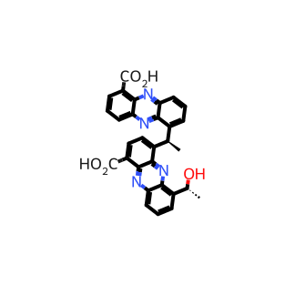 C[C@H](c1cccc2nc3c(C(=O)O)cccc3nc12)c1ccc(C(=O)O)c2nc3cccc([C@@H](C)O)c3nc12